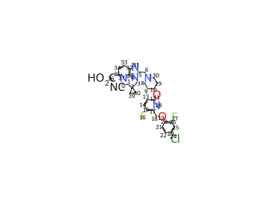 N#CCC1(Cn2c(CN3CCC(Oc4ccc(F)c(COc5ccc(Cl)cc5F)n4)CC3)nc3ccc(C(=O)O)nc32)CC1